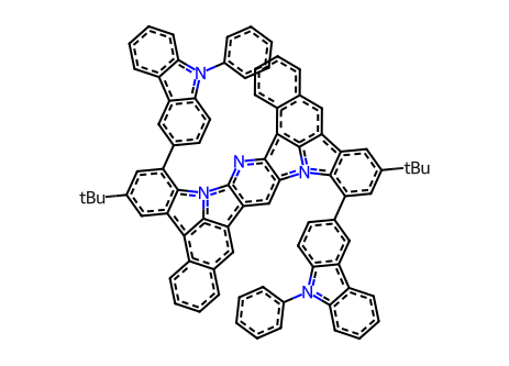 CC(C)(C)c1cc(-c2ccc3c(c2)c2ccccc2n3-c2ccccc2)c2c(c1)c1cc3ccccc3c3c4nc5c(cc4n2c13)c1cc2ccccc2c2c3cc(C(C)(C)C)cc(-c4ccc6c(c4)c4ccccc4n6-c4ccccc4)c3n5c12